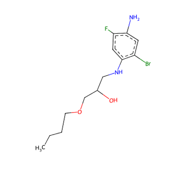 CCCCOCC(O)CNc1cc(F)c(N)cc1Br